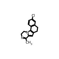 CC1=NCCn2c1cc1c2-c2ccc(Cl)cc2CC1